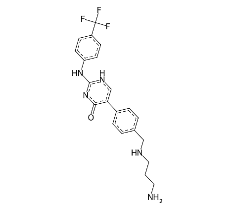 NCCCNCc1ccc(-c2c[nH]c(Nc3ccc(C(F)(F)F)cc3)nc2=O)cc1